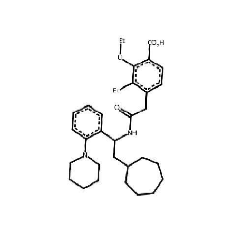 CCOc1c(C(=O)O)ccc(CC(=O)NC(CC2CCCCCC2)c2ccccc2N2CCCCC2)c1CC